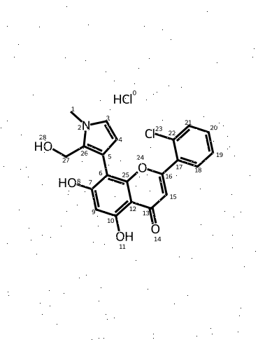 Cl.Cn1ccc(-c2c(O)cc(O)c3c(=O)cc(-c4ccccc4Cl)oc23)c1CO